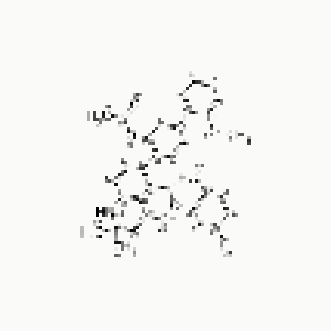 COc1ccccc1-c1ccc(-c2ccc3c(c2COc2cc(F)ccc2C)C(C)=CC(C)(C)N3)c(OC(C)=O)c1